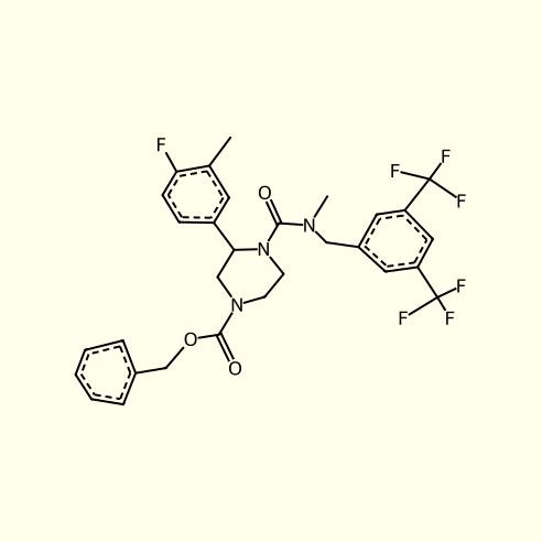 Cc1cc(C2CN(C(=O)OCc3ccccc3)CCN2C(=O)N(C)Cc2cc(C(F)(F)F)cc(C(F)(F)F)c2)ccc1F